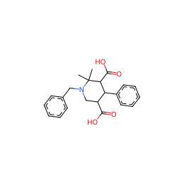 CC1(C)C(C(=O)O)C(c2ccccc2)C(C(=O)O)CN1Cc1ccccc1